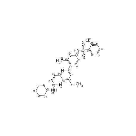 CCc1cc(-c2ccc(NS(=O)(=O)c3ccccc3Cl)nc2C)nc2cnc(NC3CCCCC3)nc12